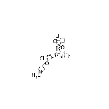 CN1CCC(COc2cc(COc3nc4ccccc4cc3NS(=O)(=O)c3cccc(Cl)c3Cl)ccc2Cl)CC1